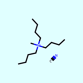 CCCC[N+](C)(CCCC)CCCC.[C-]#N